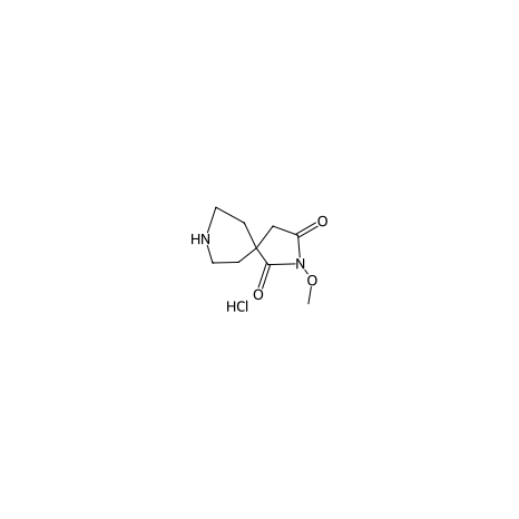 CON1C(=O)CC2(CCNCC2)C1=O.Cl